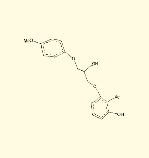 COc1ccc(OCC(O)COc2cccc(O)c2C(C)=O)cc1